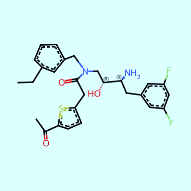 CCc1cccc(CN(C[C@@H](O)[C@@H](N)Cc2cc(F)cc(F)c2)C(=O)Cc2ccc(C(C)=O)s2)c1